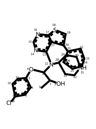 CC(O)C(Oc1ccc(Cl)cc1)N(c1ncnc2scc(-c3ccccc3)c12)C1CCNCC1